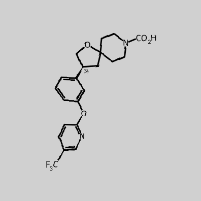 O=C(O)N1CCC2(CC1)C[C@@H](c1cccc(Oc3ccc(C(F)(F)F)cn3)c1)CO2